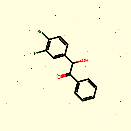 O=C(c1ccccc1)C(O)c1ccc(Br)c(F)c1